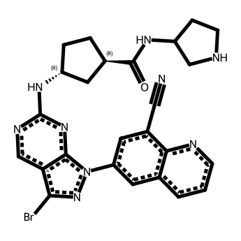 N#Cc1cc(-n2nc(Br)c3cnc(N[C@@H]4CC[C@@H](C(=O)NC5CCNC5)C4)nc32)cc2cccnc12